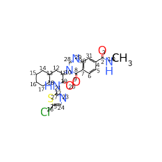 CNC(=O)c1ccc2c(=O)n(C(CC3CCCCC3)C(=O)Nc3ncc(Cl)s3)cnc2c1